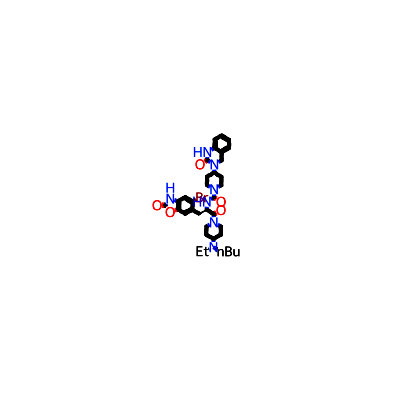 CCCCN(CC)C1CCN(C(=O)[C@@H](Cc2cc3oc(=O)[nH]c3cc2Br)NC(=O)N2CCC(N3Cc4ccccc4NC3=O)CC2)CC1